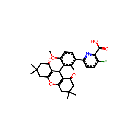 COc1ccc(-c2ccc(F)c(C(=O)O)n2)c(C)c1C1C2=C(CC(C)(C)CC2=O)OC2=C1C(=O)CC(C)(C)C2